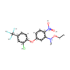 CCON(C)c1cc(Oc2ccc(C(F)(F)F)cc2Cl)ccc1[N+](=O)[O-]